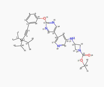 CC(C)[Si](C#Cc1cccc(Oc2ncc(-c3cncc(NC4CN(C(=O)OC(C)(C)C)C4)c3)cn2)c1)(C(C)C)C(C)C